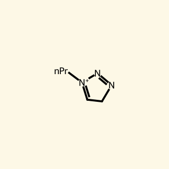 CCC[N+]1=CCN=N1